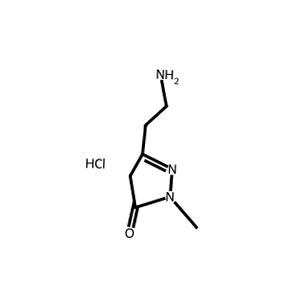 CN1N=C(CCN)CC1=O.Cl